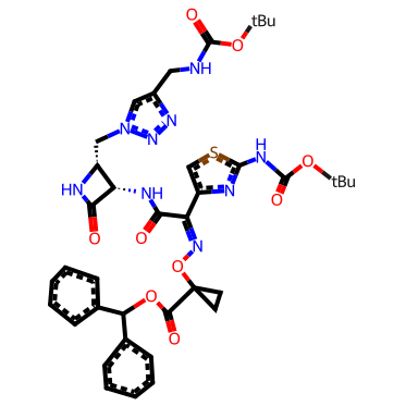 CC(C)(C)OC(=O)NCc1cn(C[C@H]2NC(=O)[C@H]2NC(=O)C(=NOC2(C(=O)OC(c3ccccc3)c3ccccc3)CC2)c2csc(NC(=O)OC(C)(C)C)n2)nn1